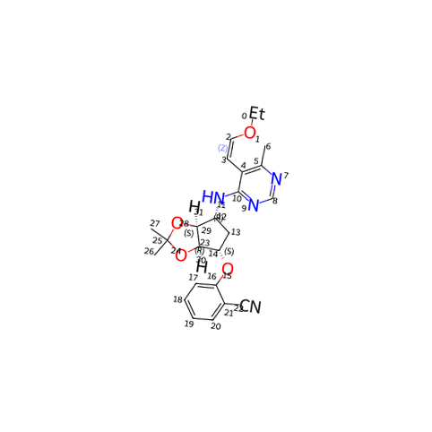 CCO/C=C\c1c(C)ncnc1N[C@@H]1C[C@H](Oc2ccccc2C#N)[C@H]2OC(C)(C)O[C@H]21